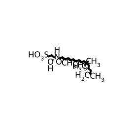 C=C(C)CCCC(C)(C)C/C=C/C(C)=C/C=C/C(C)=C/C(=O)N[C@H](CO)CCS(=O)(=O)O